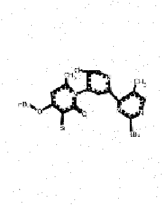 CCCCOc1cc(C)n(-c2cc(-c3nc(C(C)(C)C)ncc3C)ncc2Cl)c(=O)c1Br